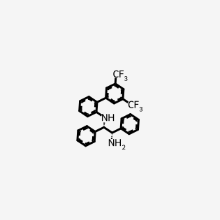 N[C@@H](c1ccccc1)[C@@H](Nc1ccccc1-c1cc(C(F)(F)F)cc(C(F)(F)F)c1)c1ccccc1